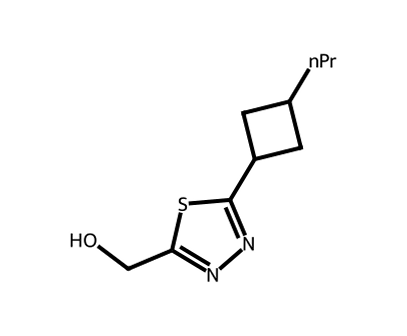 CCCC1CC(c2nnc(CO)s2)C1